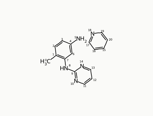 Cc1ccc(N)cc1Nc1ncccn1.c1ccncc1